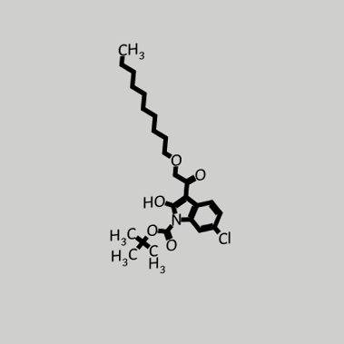 CCCCCCCCCCOCC(=O)c1c(O)n(C(=O)OC(C)(C)C)c2cc(Cl)ccc12